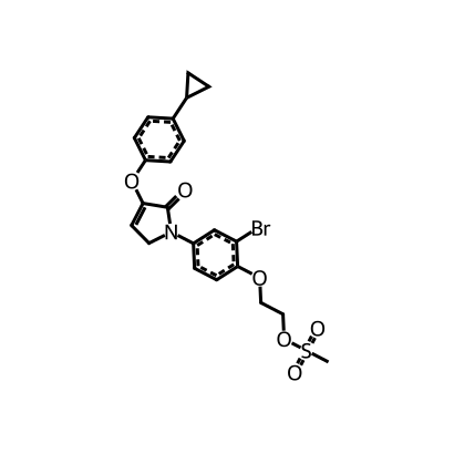 CS(=O)(=O)OCCOc1ccc(N2CC=C(Oc3ccc(C4CC4)cc3)C2=O)cc1Br